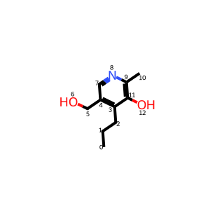 CCCc1c(CO)cnc(C)c1O